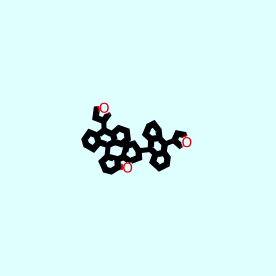 c1cc(-c2c3ccccc3c(-c3ccoc3)c3ccccc23)c2c(c1)oc1cc(-c3c4ccccc4c(-c4ccoc4)c4ccccc34)ccc12